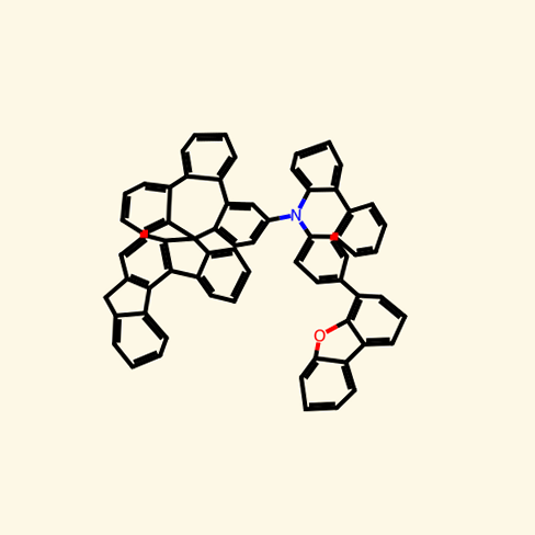 c1ccc(-c2ccccc2N(c2ccc(-c3cccc4c3oc3ccccc34)cc2)c2ccc3c(c2)-c2ccccc2-c2ccccc2C32c3ccccc3-c3c2ccc2c3-c3ccccc3C2)cc1